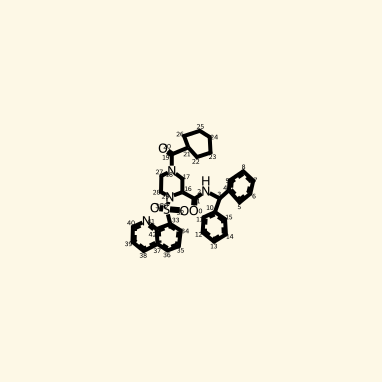 O=C(NC(c1ccccc1)c1ccccc1)C1CN(C(=O)C2CCCCC2)CCN1S(=O)(=O)c1cccc2cccnc12